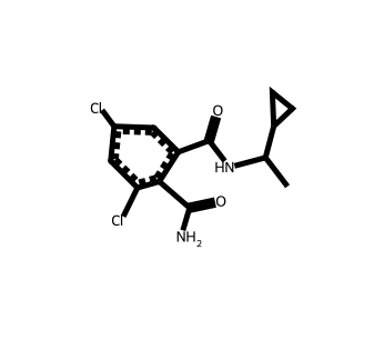 CC(NC(=O)c1cc(Cl)cc(Cl)c1C(N)=O)C1CC1